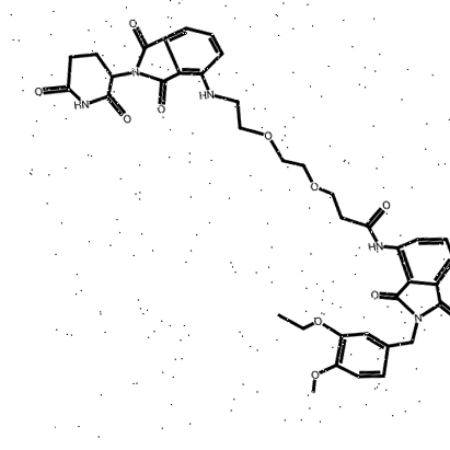 CCOc1cc(CN2C(=O)c3cccc(NC(=O)CCOCCOCCNc4cccc5c4C(=O)N(C4CCC(=O)NC4=O)C5=O)c3C2=O)ccc1OC